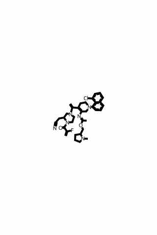 C=C(F)C(=O)N1CCN(C(=C)C2=C(/N=C(\C)OCC3CCCN3C)CN(c3cccc4cccc(Cl)c34)CC2)CC1CC#N